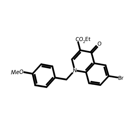 CCOC(=O)c1cn(Cc2ccc(OC)cc2)c2ccc(Br)cc2c1=O